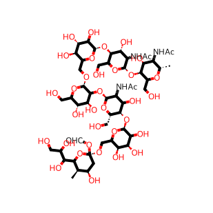 CC(=O)NC1C(O)[C@H](O[C@@H]2OC(CO[C@]3(OC=O)C[C@@H](O)[C@@H](C)C(C(O)C(O)CO)O3)[C@H](O)[C@H](O)C2O)[C@H](CO)O[C@H]1OC1[C@@H](OCC2O[C@@H](O[C@@H]3C(CO)O[C@@H](O[C@@H]4C(CO)O[C@@H](C)C(NC(C)=O)[C@H]4O)C(NC(C)=O)[C@H]3O)C(O)[C@@H](O)[C@@H]2O)OC(CO)[C@@H](O)[C@@H]1O